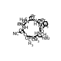 CCCC[C@@H](C)C[C@@H]1NC(=O)[C@H](CC2CCCCC2)N(C)C(=O)[C@H](CC(C)C)NC(=O)[C@H](CC(C)C)N(C)C(=O)[C@H]([C@H](C)CC)NC(=O)[C@@H](CCC#N)OC(=O)[C@H](C)N(C)C1=O